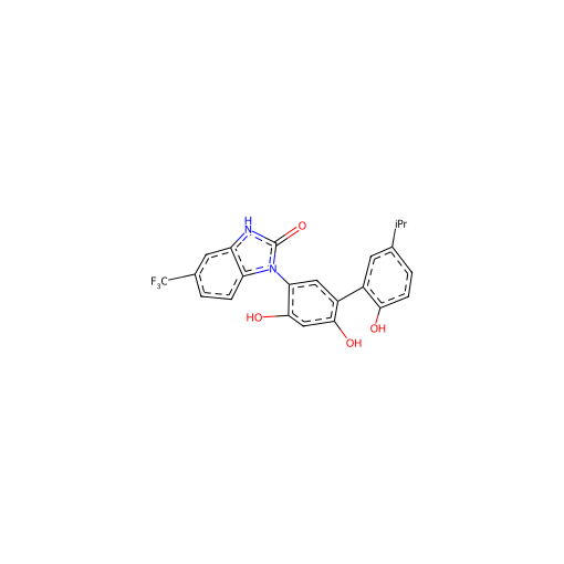 CC(C)c1ccc(O)c(-c2cc(-n3c(=O)[nH]c4cc(C(F)(F)F)ccc43)c(O)cc2O)c1